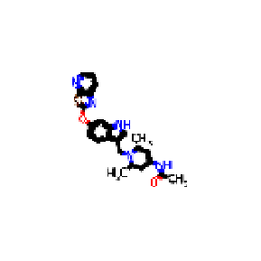 CC(=O)NC1CC(C)N(Cc2c[nH]c3cc(Oc4nc5cccnc5s4)ccc23)[C@H](C)C1